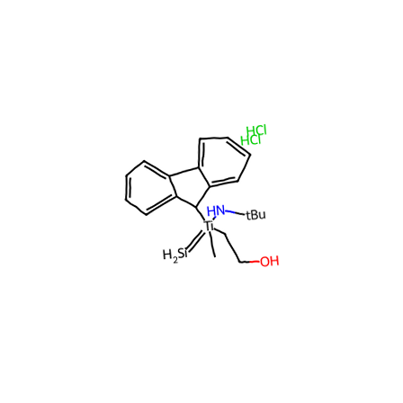 CC(C)(C)[NH][Ti]([CH3])(=[SiH2])([CH2]CO)[CH]1c2ccccc2-c2ccccc21.Cl.Cl